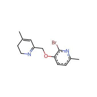 CC1=CC(COc2ccc(C)nc2Br)=NCC1